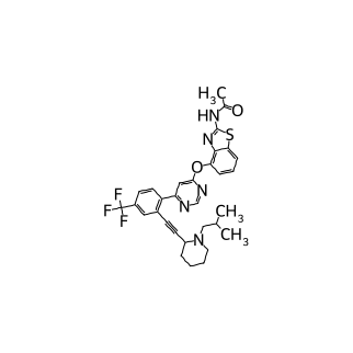 CC(=O)Nc1nc2c(Oc3cc(-c4ccc(C(F)(F)F)cc4C#CC4CCCCN4CC(C)C)ncn3)cccc2s1